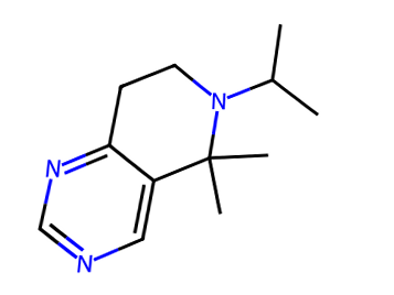 CC(C)N1CCc2ncncc2C1(C)C